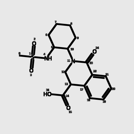 CS(=O)(=O)NC1CCCCC1N1CC(C(=O)O)c2ccccc2C1=O